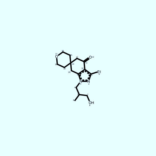 CCc1nn(CC(C)CO)c2c1C(=O)CC1(CCOCC1)C2